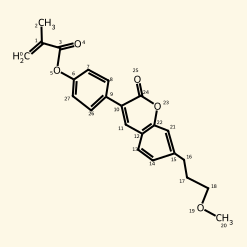 C=C(C)C(=O)Oc1ccc(-c2cc3ccc(CCCOC)cc3oc2=O)cc1